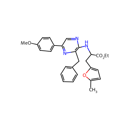 CCOC(=O)C(Cc1ccc(C)o1)Nc1ncc(-c2ccc(OC)cc2)nc1Cc1ccccc1